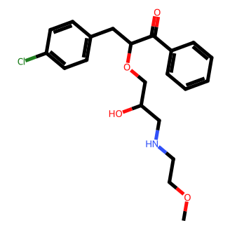 COCCNCC(O)COC(Cc1ccc(Cl)cc1)C(=O)c1ccccc1